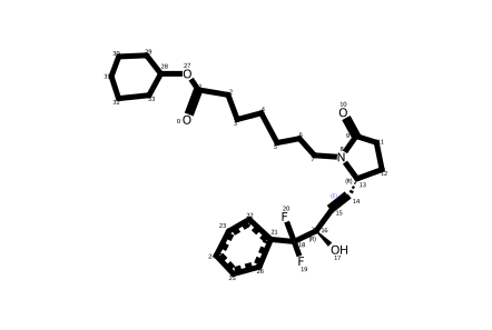 O=C(CCCCCCN1C(=O)CC[C@@H]1/C=C/[C@@H](O)C(F)(F)c1ccccc1)OC1CCCCC1